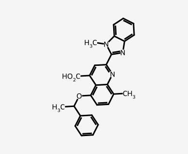 Cc1ccc(OC(C)c2ccccc2)c2c(C(=O)O)cc(-c3nc4ccccc4n3C)nc12